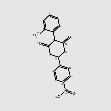 Cc1ccccc1C1C(=O)CC(c2ccc([N+](=O)[O-])cc2)CC1=O